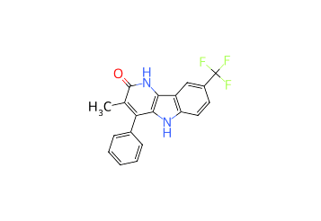 Cc1c(-c2ccccc2)c2[nH]c3ccc(C(F)(F)F)cc3c2[nH]c1=O